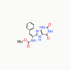 CC(C)(C)OC(=O)NC(=Cc1ccccc1)c1nc2[nH]c(=O)[nH]c(=O)c2[nH]1